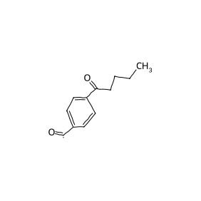 CCCCC(=O)c1ccc([C]=O)cc1